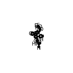 CC1(C)CC=C(c2cc(C3(N4CCN(CC(=O)OC(=O)C(F)(F)F)CC4)CCOCC3)ccc2NC(=O)c2ncc(C#N)[nH]2)CC1